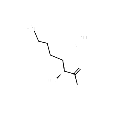 N.N.NCCCC[C@H](N)C(=O)O